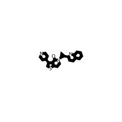 O=c1c2c(-c3ccncc3)csc2ccn1C1CC1c1ccc2ccccc2n1